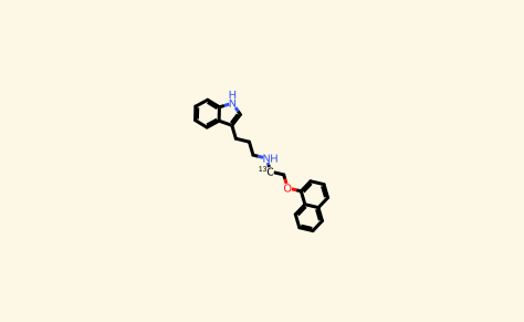 c1ccc2c(OC[13CH2]NCCCc3c[nH]c4ccccc34)cccc2c1